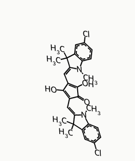 CN1/C(=C\C2=C(O)C(/C=C3\N(C)c4ccc(Cl)cc4C3(C)C)=C(O)C2=O)C(C)(C)c2cc(Cl)ccc21